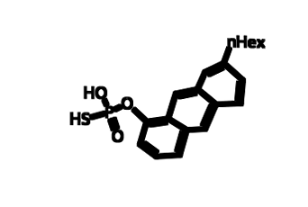 CCCCCCc1ccc2cc3cccc(OP(=O)(O)S)c3cc2c1